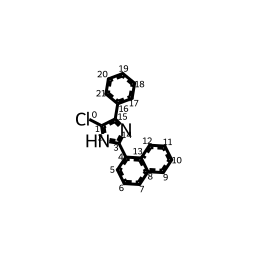 Clc1[nH]c(-c2cccc3ccccc23)nc1-c1ccccc1